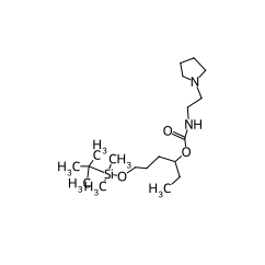 CCC(CCCO[Si](C)(C)C(C)(C)C)OC(=O)NCCN1CCCC1